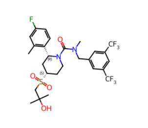 Cc1cc(F)ccc1[C@H]1C[C@@H](S(=O)(=O)CC(C)(C)O)CCN1C(=O)N(C)Cc1cc(C(F)(F)F)cc(C(F)(F)F)c1